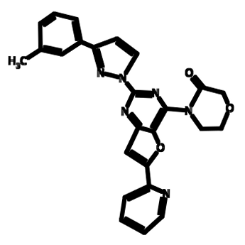 Cc1cccc(-c2ccn(-c3nc(N4CCOCC4=O)c4oc(-c5ccccn5)cc4n3)n2)c1